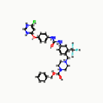 O=C(Nc1ccc(Oc2cc(Cl)ncn2)cc1)Nc1ccc(CN2CCN(C(=O)OCc3ccccc3)CC2)c(C(F)(F)F)c1